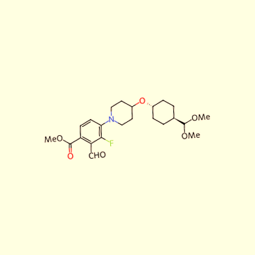 COC(=O)c1ccc(N2CCC(O[C@H]3CC[C@H](C(OC)OC)CC3)CC2)c(F)c1C=O